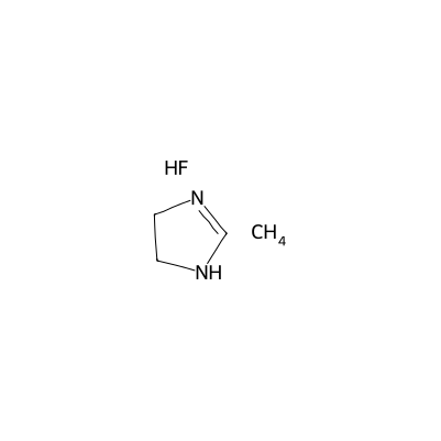 C.C1=NCCN1.F